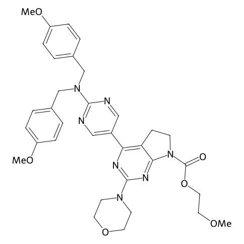 COCCOC(=O)N1CCc2c(-c3cnc(N(Cc4ccc(OC)cc4)Cc4ccc(OC)cc4)nc3)nc(N3CCOCC3)nc21